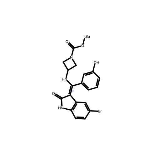 CC(C)(C)OC(=O)N1CC(N/C(=C2\C(=O)Nc3ccc(Br)cc32)c2cccc(O)c2)C1